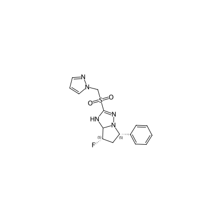 O=S(=O)(Cn1cccn1)C1=NN2C(N1)[C@@H](F)C[C@H]2c1ccccc1